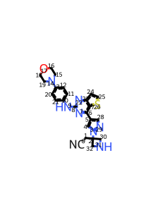 N#CCC1(n2cc(-c3nc(Nc4ccc(N5CCOCC5)cc4)nc4ccsc34)cn2)CNC1